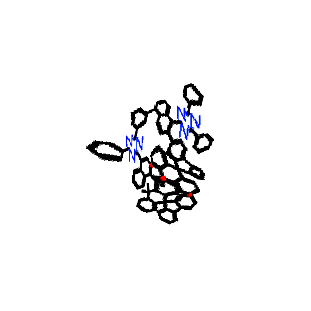 CC1(C)c2ccccc2C2(c3ccccc3-c3ccc(-c4ccc5c(-c6cccc(-c7nc(-c8ccccc8)nc(-c8ccc(-c9cccc%10c9C(C)(C)c9ccccc9C%109c%10ccccc%10-c%10ccccc%109)c9ccccc89)n7)c6)cccc5c4-c4nc(-c5ccccc5)nc(-c5ccccc5)n4)cc32)c2ccccc21